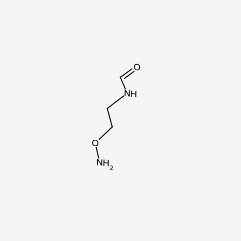 NOCCNC=O